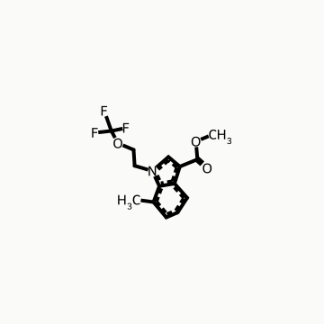 COC(=O)c1cn(CCOC(F)(F)F)c2c(C)cccc12